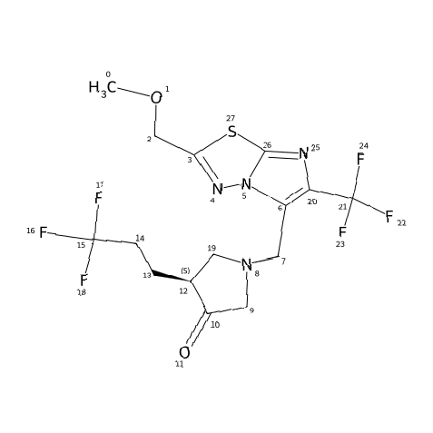 COCc1nn2c(CN3CC(=O)[C@@H](CCC(F)(F)F)C3)c(C(F)(F)F)nc2s1